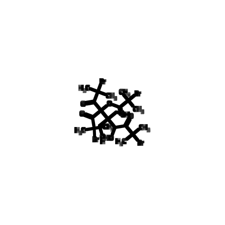 CC(C)(Br)C(=O)OC(C(=O)C(C)(C)Br)(C(=O)C(C)(C)Br)C(CO)(CO)C(O)C(=O)C(C)(C)Br